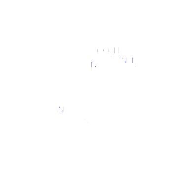 CN1CCC(CN(C(=O)O)c2cc(-c3cccs3)ccc2N)CC1